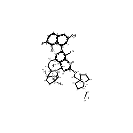 CCc1c(F)ccc2cc(O)cc(-c3nc4c5c(nc(OC[C@@]67CCCN6[C@H](CO)CC7)nc5c3F)N3C[C@H]5CC[C@H](N5)[C@H]3CO4)c12